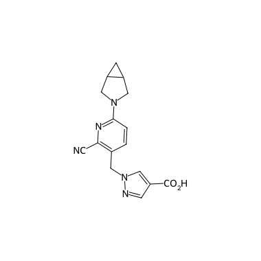 N#Cc1nc(N2CC3CC3C2)ccc1Cn1cc(C(=O)O)cn1